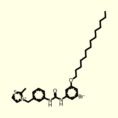 CCCCCCCCCCCCCCOc1cccc(NC(=O)Nc2cccc(C[n+]3ccsc3C)c2)c1.[Br-]